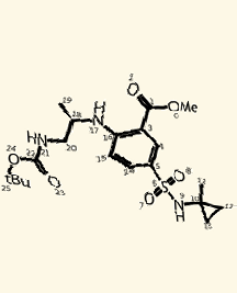 COC(=O)c1cc(S(=O)(=O)NC2(C)CC2)ccc1N[C@H](C)CNC(=O)OC(C)(C)C